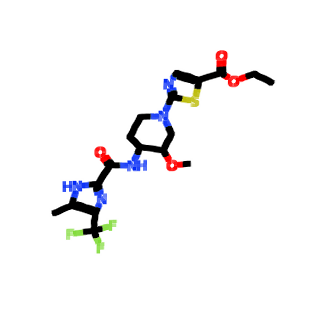 CCOC(=O)c1cnc(N2CCC(NC(=O)c3nc(C(F)(F)F)c(C)[nH]3)C(OC)C2)s1